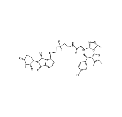 Cc1sc2c(c1C)C(c1ccc(Cl)cc1)=N[C@@H](CC(=O)NCCC(F)(F)CCOc1cccc3c1C(=O)N(C1CCC(=O)NC1=O)C3=O)c1nnc(C)n1-2